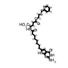 Nc1nc2[nH]c(CCCCCCCC(=O)N[C@@H](CCC(=O)OCCSSc3ccccn3)C(=O)O)cc2c(=O)[nH]1